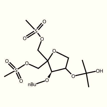 CCCCO[C@@H]1C(OC(C)(C)O)COC1(COS(C)(=O)=O)COS(C)(=O)=O